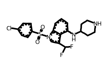 O=S(=O)(c1ccc(Cl)cc1)n1cc(C(F)F)c2c(NC3CCNCC3)cccc21